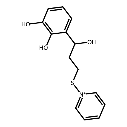 Oc1cccc(C(O)C[CH]S[n+]2ccccc2)c1O